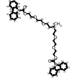 CN(CCOCCOCCOC(=O)n1c2ccccc2c2ccccc21)CCOCCOCCOC(=O)n1c2ccccc2c2ccccc21